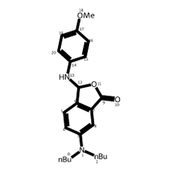 CCCCN(CCCC)c1ccc2c(c1)C(=O)OC2Nc1ccc(OC)cc1